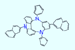 c1ccc(N2c3cc(-c4ccc5ccccc5c4)cc(c3)N(c3ccccc3)c3cccc4c3c3c2cccc3n4-c2ccc3ccccc3c2)cc1